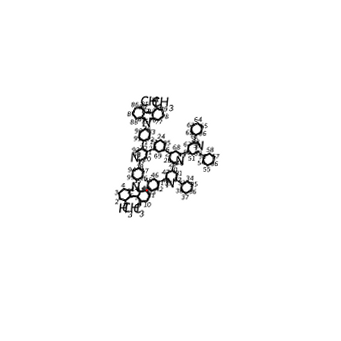 Cc1cccc2c1c1c(C)cccc1n2-c1ccc(-c2cc(-c3cccc(-c4cc(-c5cc(-c6ccccc6)nc(-c6ccccc6)c5)nc(-c5cc(-c6ccccc6)nc(-c6ccccc6)c5)c4)c3)c(-c3ccc(-n4c5cccc(C)c5c5c(C)cccc54)cc3)cn2)cc1